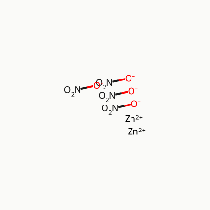 O=[N+]([O-])[O-].O=[N+]([O-])[O-].O=[N+]([O-])[O-].O=[N+]([O-])[O-].[Zn+2].[Zn+2]